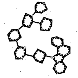 c1ccc(-c2ccc(-c3cccc(-c4ccnc(-c5ccc(-n6c7ccccc7c7ccc8ccccc8c76)cc5)n4)c3)cc2-c2ccccc2)cc1